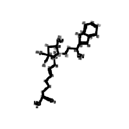 O=C(O)CCCC=CC[C@@H]1[C@@H](CCC(O)c2cc3ccccc3s2)[C@H](O)CC1(F)F